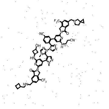 C[C@@H](CC#N)Nc1cc(-c2cc(C#N)ccc2-c2nncn2-[n+]2ncn(C)c2-c2cnn(C)c2-c2cc(NC3CC(O)C3)nc(N3Cc4c(cc(CNCC5CCC5)cc4C(F)(F)F)C3=O)c2)cc(N2Cc3c(cc(CN4CCC5(CC5)C4)cc3C(F)(F)F)C2=O)n1